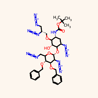 CC(C)(C)OC(=O)N[C@@H]1CC(N=[N+]=[N-])C(O[C@H]2OC(CN=[N+]=[N-])[C@@H](OCc3ccccc3)[C@H](OCc3ccccc3)C2N=[N+]=[N-])[C@H](O)C1OC[C@@H](CN=[N+]=[N-])N=[N+]=[N-]